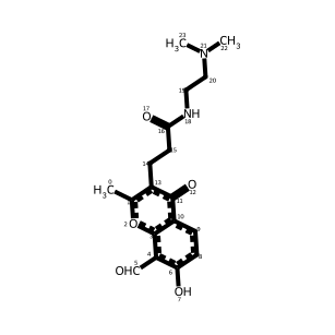 Cc1oc2c(C=O)c(O)ccc2c(=O)c1CCC(=O)NCCN(C)C